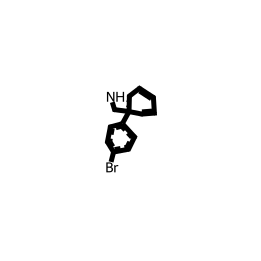 NCC1(c2ccc(Br)cc2)C=CC=CC1